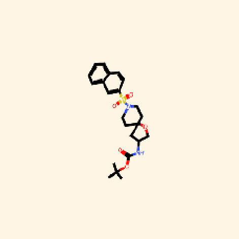 CC(C)(C)OC(=O)NC1COC2(CCN(S(=O)(=O)c3ccc4ccccc4c3)CC2)C1